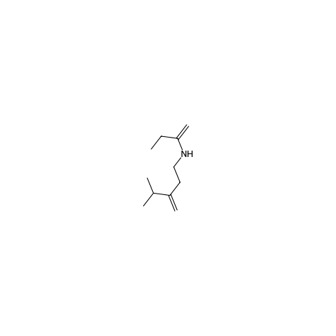 C=C(CC)NCCC(=C)C(C)C